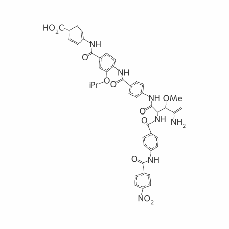 C=C(N)C(OC)C(NC(=O)c1ccc(NC(=O)c2ccc([N+](=O)[O-])cc2)cc1)C(=O)Nc1ccc(C(=O)Nc2ccc(C(=O)NC3=CCC(C(=O)O)C=C3)cc2OC(C)C)cc1